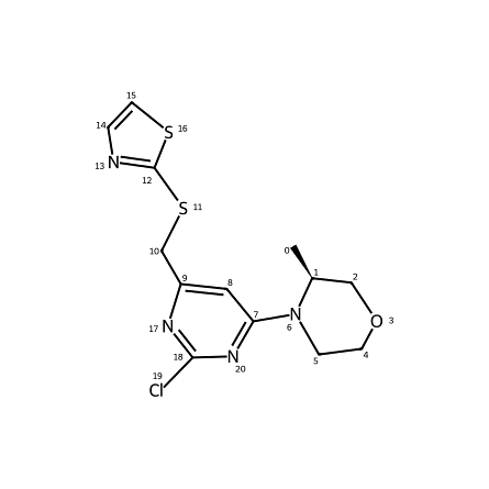 C[C@H]1COCCN1c1cc(CSc2nccs2)nc(Cl)n1